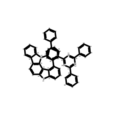 c1ccc(-c2ccc(-c3cccc4sc5ccc6c7ccccc7n(-c7ccccc7)c6c5c34)c(-c3nc(-c4ccccc4)nc(-c4ccccc4)n3)c2)cc1